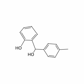 Cc1ccc(C(O)c2ccccc2O)cc1